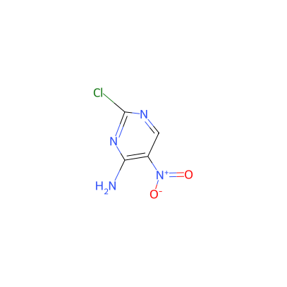 Nc1nc(Cl)ncc1[N+](=O)[O-]